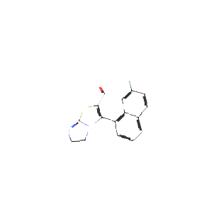 O=CC1=C(c2cccc3ccc(Cl)cc23)N2CCN=C2S1